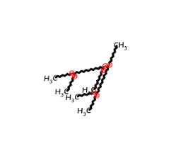 CCCCCCCCCOC(C=CCCCCCCCCCC(OCCCCCCC)OCCCCCCC)OC(C=CCCCCCCCCCC(OCCCCCCC)OCCCCCCC)OCCCCCCCCC